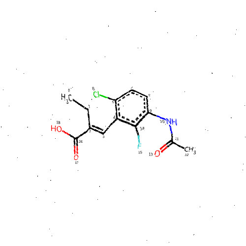 CCC(=Cc1c(Cl)ccc(NC(C)=O)c1F)C(=O)O